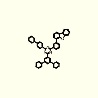 c1ccc(-c2ccc(-c3nc(-c4cc(-c5ccccc5)cc(-c5ccccc5)c4)nc(-c4cccc(-c5cccc6c5oc5ccccc56)c4)n3)cc2)cc1